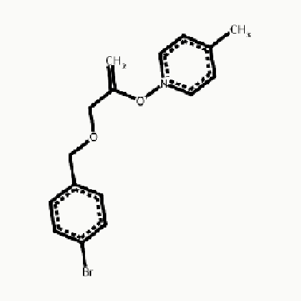 C=C(COCc1ccc(Br)cc1)O[n+]1ccc(C)cc1